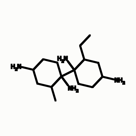 CCC1CC(N)CCC1(N)C1(N)CCC(N)CC1C